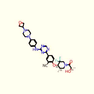 C[C@H](O)C(=O)N1C[C@H](C)[C@@H](Oc2ccc(-c3ncnc(Nc4ccc(N5CCN(C6COC6)CC5)cc4)n3)cc2C#N)C(F)(F)C1